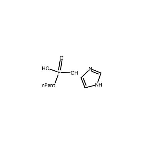 CCCCCP(=O)(O)O.c1c[nH]cn1